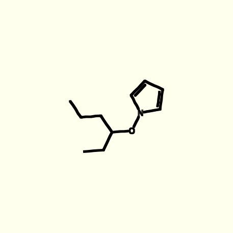 CCCC(CC)On1cccc1